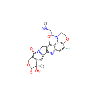 CCNCC(=O)N1CCOc2c(F)cc3nc4c(c(C)c3c21)Cn1c-4cc2c(c1=O)COC(=O)[C@]2(O)CC